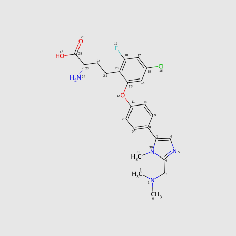 CN(C)Cc1ncc(-c2ccc(Oc3cc(Cl)cc(F)c3CC[C@H](N)C(=O)O)cc2)n1C